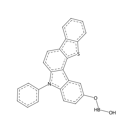 OBOc1ccc2c(c1)c1c3sc4ccccc4c3ccc1n2-c1ccccc1